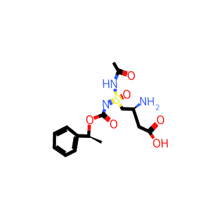 CC(=O)NS(=O)(C[C@@H](N)CC(=O)O)=NC(=O)O[C@@H](C)c1ccccc1